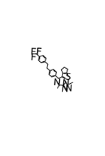 Cc1nnc2n1-c1sc3c(c1C(c1ccc(CCc4ccc(C(F)(F)F)cc4)cc1)=NC2C)CCC3